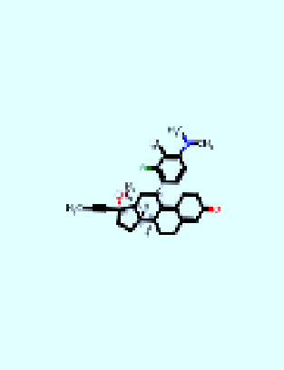 CC#C[C@]1(O)CC[C@H]2[C@@H]3CCC4=CC(=O)CCC4=C3[C@@H](c3ccc(N(C)C)c(C)c3F)C[C@@]21C